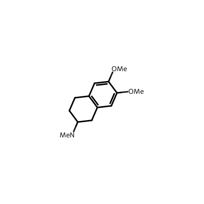 CNC1CCc2cc(OC)c(OC)cc2C1